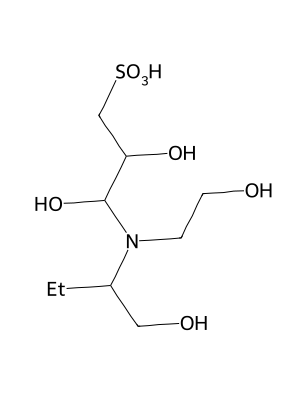 CCC(CO)N(CCO)C(O)C(O)CS(=O)(=O)O